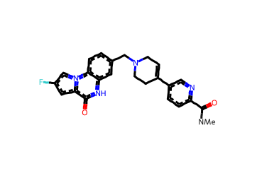 CNC(=O)c1ccc(C2=CCN(Cc3ccc4c(c3)[nH]c(=O)c3cc(F)cn34)CC2)cn1